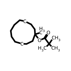 CC1(OC(=O)C(C)(C)C)CCCCCCCCCCC1